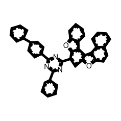 c1ccc(-c2ccc(-c3nc(-c4ccccc4)nc(-c4cc5oc6ccc7ccccc7c6c5c5c4oc4ccccc45)n3)cc2)cc1